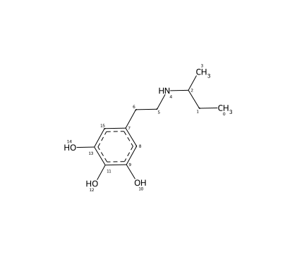 CCC(C)NCCc1cc(O)c(O)c(O)c1